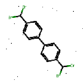 BrC(Br)c1ccc(-c2ccc(C(Br)Br)cc2)cc1